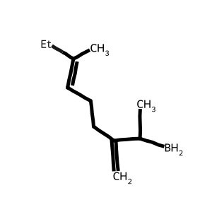 BC(C)C(=C)CC/C=C(\C)CC